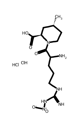 C[C@@H]1CCN(C(=O)C(N)CCCNC(=N)N[N+](=O)[O-])[C@@H](C(=O)O)C1.Cl.Cl